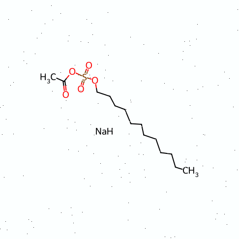 CCCCCCCCCCCCOS(=O)(=O)OC(C)=O.[NaH]